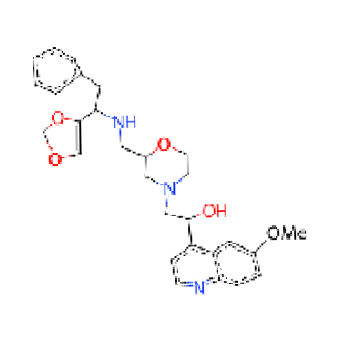 COc1ccc2nccc(C(O)CN3CCOC(CNC(Cc4ccccc4)C4=COCO4)C3)c2c1